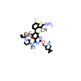 C=CC(=O)N1CC[C@@H](N(CC)c2nc(OC[C@@H]3CC4(CC4)CN3C)nc3c(F)c(-c4ccc(F)c5sc(N)c(C#N)c45)c(C(F)(F)F)cc23)[C@H]1COC